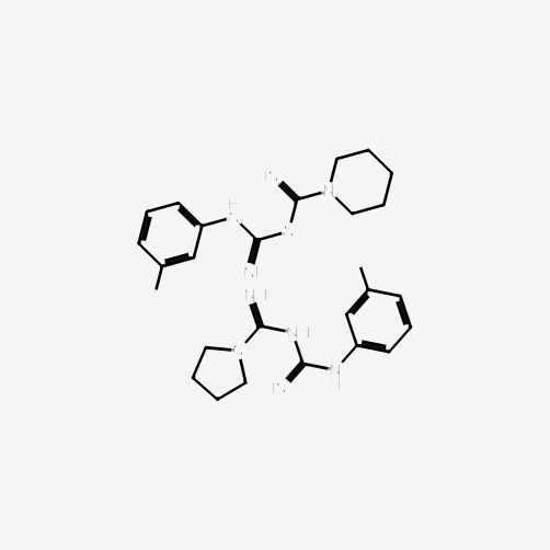 N=C(NC(=N)N1CCCC1)Nc1cccc(C(F)(F)F)c1.N=C(NC(=N)N1CCCCC1)Nc1cccc(C(F)(F)F)c1